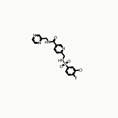 O=C(NCc1cnccn1)c1ccc(CNS(=O)(=O)c2ccc(F)c(Cl)c2)nc1